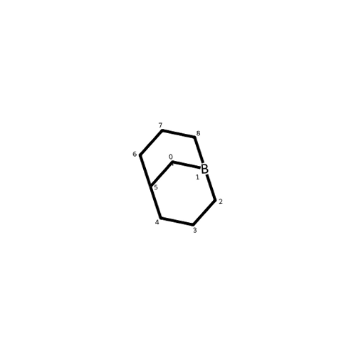 [CH]1B2CCCC1CCC2